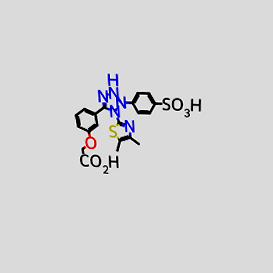 Cc1nc(N2C(c3cccc(OCC(=O)O)c3)=NNN2c2ccc(S(=O)(=O)O)cc2)sc1C